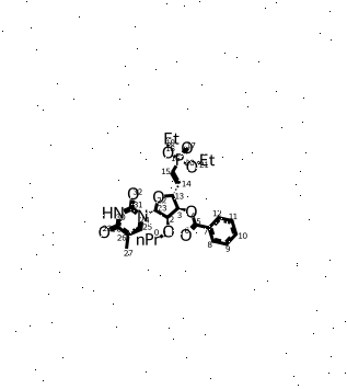 CCCO[C@@H]1[C@H](OC(=O)c2ccccc2)[C@@H](/C=C/P(=O)(OCC)OCC)O[C@H]1n1cc(C)c(=O)[nH]c1=O